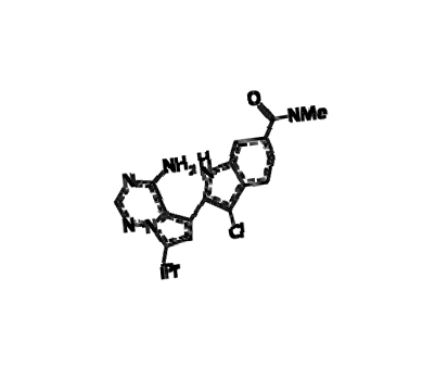 CNC(=O)c1ccc2c(Cl)c(-c3cc(C(C)C)n4ncnc(N)c34)[nH]c2c1